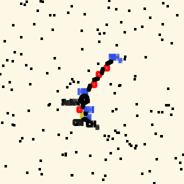 CC(=O)Nc1cc(NCCOCCOCCOCCN)ccc1C(=O)Nc1nc(C)c(N=O)s1